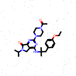 CCOc1ccc(CC(C)(C)Nc2nc(N3CCN(C(C)=O)CC3)nc3c2CN(C(C)C)C3=O)cc1